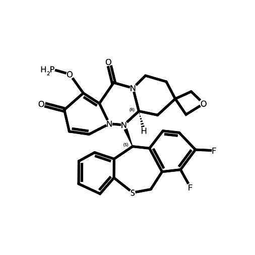 O=C1c2c(OP)c(=O)ccn2N([C@@H]2c3ccccc3SCc3c2ccc(F)c3F)[C@@H]2CC3(CCN12)COC3